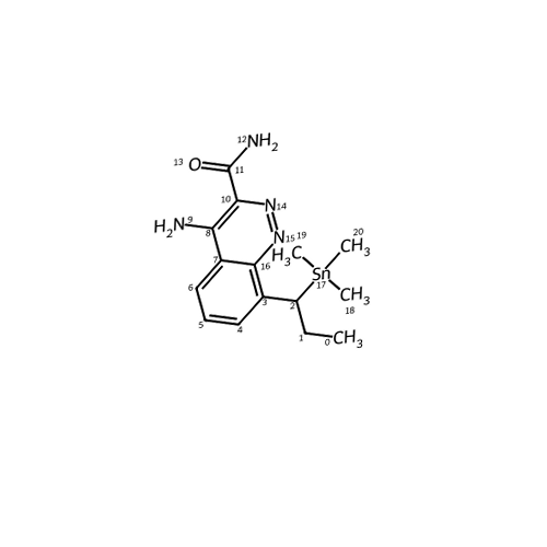 CC[CH](c1cccc2c(N)c(C(N)=O)nnc12)[Sn]([CH3])([CH3])[CH3]